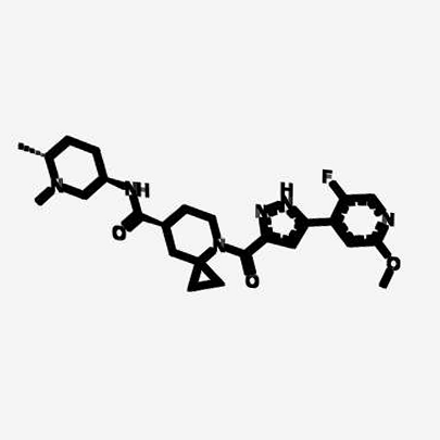 COc1cc(-c2cc(C(=O)N3CC[C@H](C(=O)N[C@@H]4CC[C@@H](C)N(C)C4)CC34CC4)n[nH]2)c(F)cn1